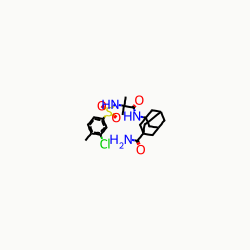 Cc1ccc(S(=O)(=O)NC(C)(C)C(=O)NC23CC4CC(C2)CC(C(N)=O)(C4)C3)cc1Cl